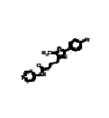 CCc1ccc(-c2nc(CCCC(=O)Nc3ccncc3)c(C)o2)cc1